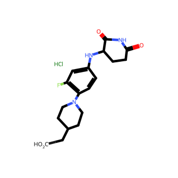 Cl.O=C(O)CC1CCN(c2ccc(NC3CCC(=O)NC3=O)cc2F)CC1